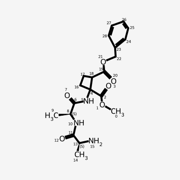 COC(=O)C1(NC(=O)[C@H](C)NC(=O)[C@H](C)N)CCC1C(=O)OCc1ccccc1